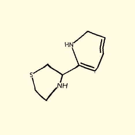 [C]1=C(C2CSCCN2)NCC=C1